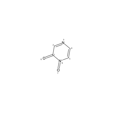 O=C1C=NC=C[N+]1=O